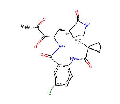 CNC(=O)C(=O)C(C[C@@H]1CCNC1=O)NC(=O)c1cc(Cl)ccc1NC(=O)C1(C(F)(F)F)CC1